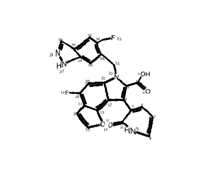 O=C(O)c1c(-c2ccc[nH]c2=O)c2c3occc3c(F)cc2n1Cc1cc2[nH]ncc2cc1F